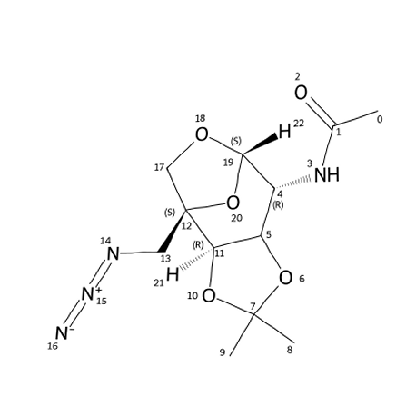 CC(=O)N[C@@H]1C2OC(C)(C)O[C@H]2[C@]2(CN=[N+]=[N-])CO[C@H]1O2